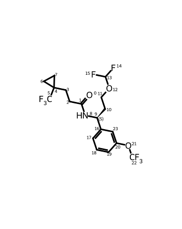 O=C(CCC1(C(F)(F)F)CC1)N[C@@H](CCOC(F)F)c1cccc(OC(F)(F)F)c1